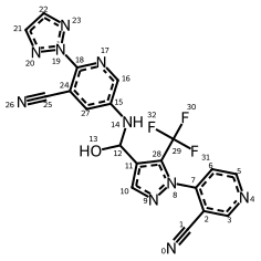 N#Cc1cnccc1-n1ncc(C(O)Nc2cnc(-n3nccn3)c(C#N)c2)c1C(F)(F)F